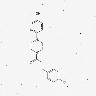 O=C(CCc1ccc(Cl)cc1)N1CCN(c2ccc(O)cn2)CC1